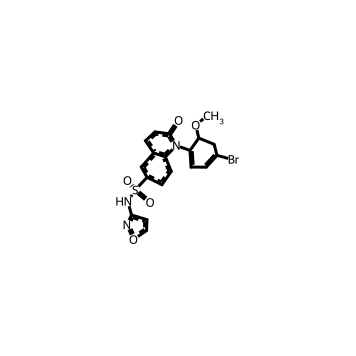 COC1CC(Br)=CC=C1n1c(=O)ccc2cc(S(=O)(=O)Nc3ccon3)ccc21